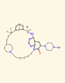 CC(C)N1CCN(c2cc3c4ncnc3n(c2=O)CCCCCN2CCC(CC2)CCC(F)(F)c2cccc(c2F)[C@@H](C)N4)CC1